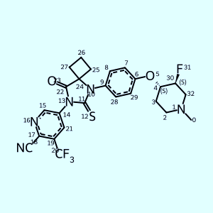 CN1CC[C@H](Oc2ccc(N3C(=S)N(c4cnc(C#N)c(C(F)(F)F)c4)C(=O)C34CCC4)cc2)[C@@H](F)C1